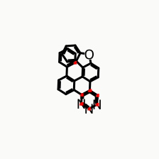 c1ccc(-c2cccc(-c3ccnnn3)c2-c2c(-c3ccccc3)ccc3oc4ccccc4c23)cc1